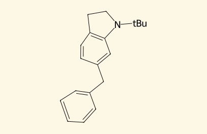 CC(C)(C)N1CCc2ccc(Cc3ccccc3)cc21